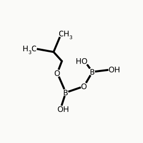 CC(C)COB(O)OB(O)O